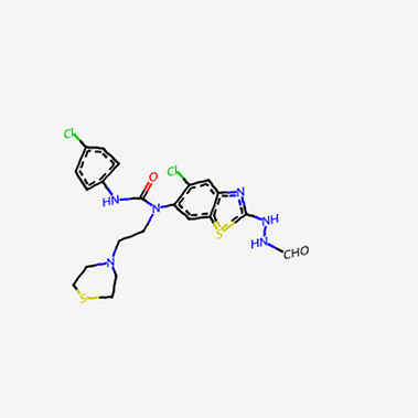 O=CNNc1nc2cc(Cl)c(N(CCN3CCSCC3)C(=O)Nc3ccc(Cl)cc3)cc2s1